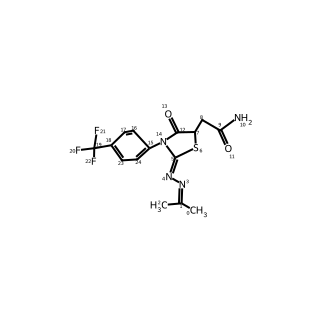 CC(C)=NN=C1SC(CC(N)=O)C(=O)N1c1ccc(C(F)(F)F)cc1